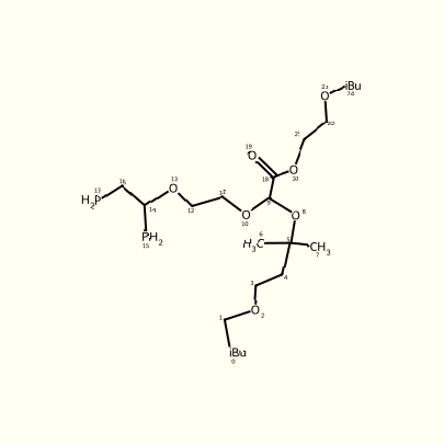 CCC(C)COCCC(C)(C)OC(OCCOC(P)CP)C(=O)OCCOC(C)CC